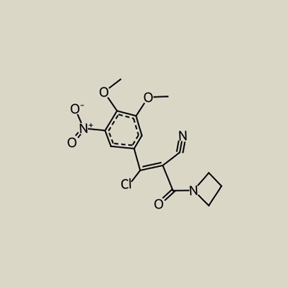 COc1cc(/C(Cl)=C(\C#N)C(=O)N2CCC2)cc([N+](=O)[O-])c1OC